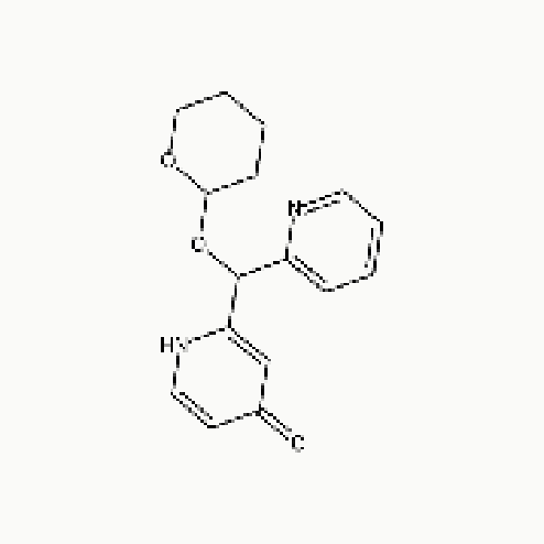 O=c1cc[nH]c(C(OC2CCCCO2)c2ccccn2)c1